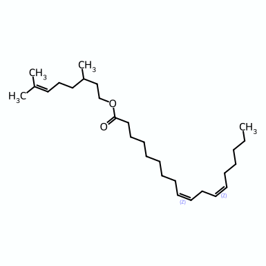 CCCCC/C=C\C/C=C\CCCCCCCC(=O)OCCC(C)CCC=C(C)C